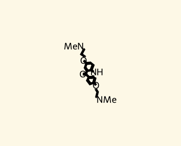 CNCCCOc1ccc2c(=O)c3cc(OCCCNC)ccc3[nH]c2c1